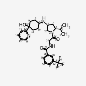 CC(C)[C@@H]1C[C@H](NC2CCC(O)(c3ccccn3)CC2)CN1C(=O)CNC(=O)c1cccc(C(F)(F)F)c1